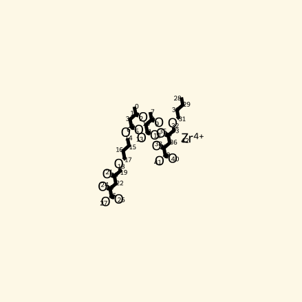 CC(=O)CC(=O)[O-].CC(=O)CC(=O)[O-].CCCCOCC(=O)CC(=O)C(=O)[O-].CCCCOCC(=O)CC(=O)C(=O)[O-].[Zr+4]